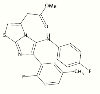 COC(=O)Cc1csc2nc(-c3cc(C)ccc3F)c(Nc3ccc(F)cc3)n12